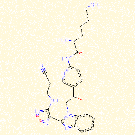 N#CCCNc1nonc1-c1nc2ccccc2n1CC(O)c1ccc(NC(=O)[C@@H](N)CCCCN)nc1